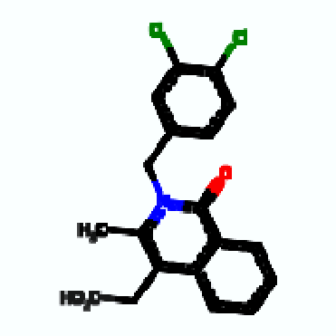 Cc1c(CC(=O)O)c2ccccc2c(=O)n1Cc1ccc(Cl)c(Cl)c1